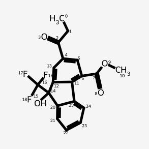 CCC(=O)c1cc(C(=O)OC)c2c(c1)C(O)(C(F)(F)F)c1ccccc1-2